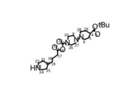 CC(C)(C)OC(=O)C1CCN(N2CCN(C(=O)OC(=O)CCCC3CCNCC3)CC2)CC1